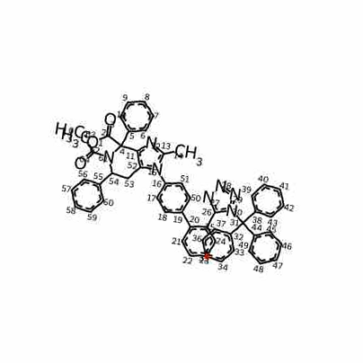 COC(=O)C1(c2ccccc2)c2nc(C)n(-c3ccc(-c4ccccc4-c4nnnn4C(c4ccccc4)(c4ccccc4)c4ccccc4)cc3)c2CC(c2ccccc2)N1C(C)=O